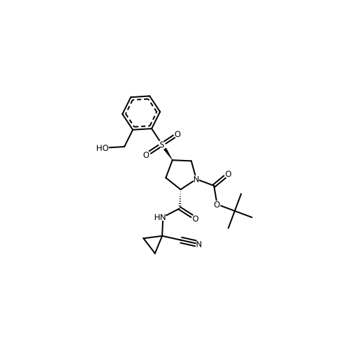 CC(C)(C)OC(=O)N1C[C@H](S(=O)(=O)c2ccccc2CO)C[C@H]1C(=O)NC1(C#N)CC1